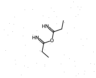 CCC(=N)OC(=N)CC